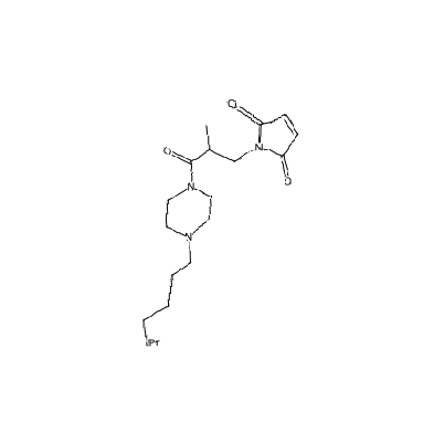 CC(C)CCCCN1CCN(C(=O)C(C)CN2C(=O)C=CC2=O)CC1